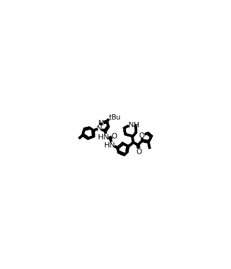 Cc1ccc(-n2nc(C(C)(C)C)cc2NC(=O)Nc2cccc(C(C(=O)c3occc3C)C3CCNCC3)c2)cc1